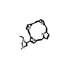 CCN1CN(C)C=C1C1=CC2=CC3=NC(=CC4=NC(=CC5=NC(=CC1=N2)C=C5)C=C4)C=C3